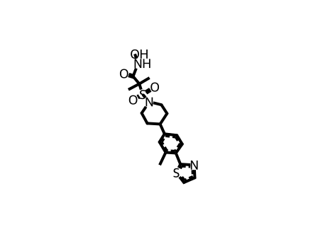 Cc1cc(C2CCN(S(=O)(=O)C(C)(C)C(=O)NO)CC2)ccc1-c1nccs1